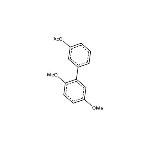 COc1c[c]c(OC)c(-c2cccc(OC(C)=O)c2)c1